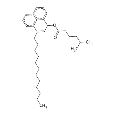 CCCCCCCCCCCCC1=CC(OC(=O)CCCC(C)C)c2cccc3cccc1c23